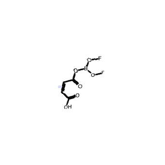 O=C(O)/C=C\C(=O)OB(OF)OF